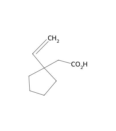 C=CC1(CC(=O)O)CCCC1